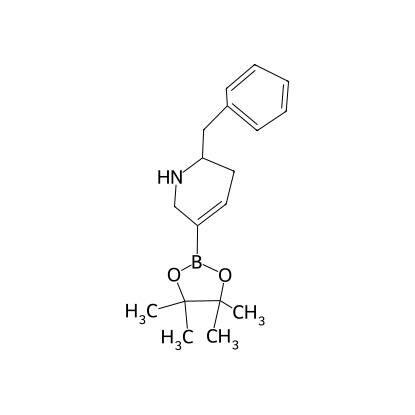 CC1(C)OB(C2=CCC(Cc3ccccc3)NC2)OC1(C)C